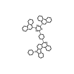 c1ccc(-n2c3ccccc3c3c4c(ccc32)c(-c2ccc(-c3nc(-c5cc6ccccc6c6ccccc56)nc(-c5cc6ccccc6c6ccccc56)n3)cc2)nc2ccccc24)cc1